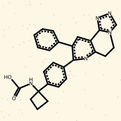 O=C(O)NC1(c2ccc(-c3nc4c(cc3-c3ccccc3)-c3nncn3CC4)cc2)CCC1